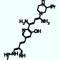 CC(C)C1CN(/C(N)=C/C=C(\N)c2ncc(/C=C/C(C=N)=C/NPI)cc2O)CCN1